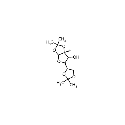 CC1(C)OC[C@H](C2OC3OC(C)(C)O[C@@H]3[C@@H]2O)O1